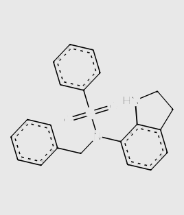 O=S(=O)(c1ccccc1)N(Cc1ccccc1)c1cccc2c1NCC2